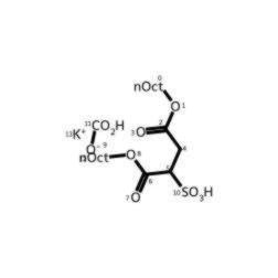 CCCCCCCCOC(=O)CC(C(=O)OCCCCCCCC)S(=O)(=O)O.O=C([O-])O.[K+]